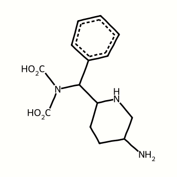 NC1CCC(C(c2ccccc2)N(C(=O)O)C(=O)O)NC1